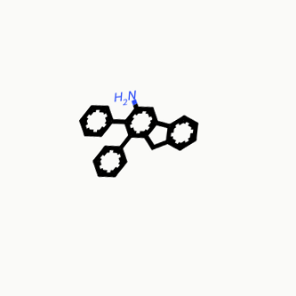 Nc1cc2c(c(-c3ccccc3)c1-c1ccccc1)Cc1ccccc1-2